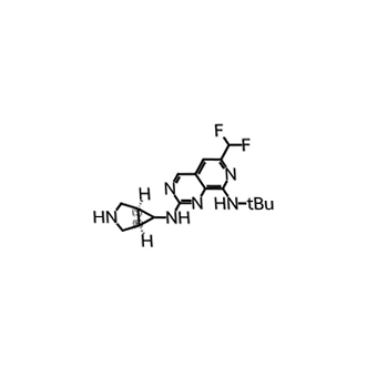 CC(C)(C)Nc1nc(C(F)F)cc2cnc(NC3[C@H]4CNC[C@@H]34)nc12